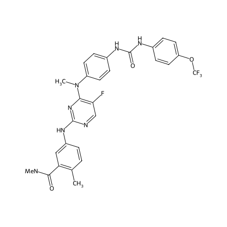 CNC(=O)c1cc(Nc2ncc(F)c(N(C)c3ccc(NC(=O)Nc4ccc(OC(F)(F)F)cc4)cc3)n2)ccc1C